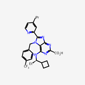 CC[C@@H](Nc1nc(C(=O)O)nc2nc(-c3cc(C(C)C)ccn3)n(Cc3ccc(C(F)(F)F)cc3)c12)C1CCC1